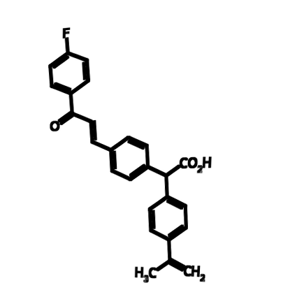 C=C(C)c1ccc(C(C(=O)O)c2ccc(/C=C/C(=O)c3ccc(F)cc3)cc2)cc1